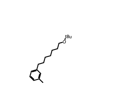 Cc1cccc(CCCCCCCOC(C)(C)C)c1